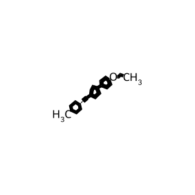 CCCOc1ccc(-c2ccc(C#C[C@H]3CC[C@H](C)CC3)cc2)cc1